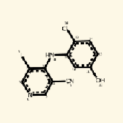 N#Cc1cncc(I)c1Nc1cc(O)ccc1Cl